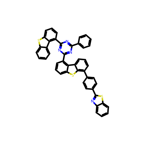 c1ccc(-c2nc(-c3cccc4sc5ccccc5c34)nc(-c3cccc4sc5c(-c6ccc(-c7nc8ccccc8s7)cc6)cccc5c34)n2)cc1